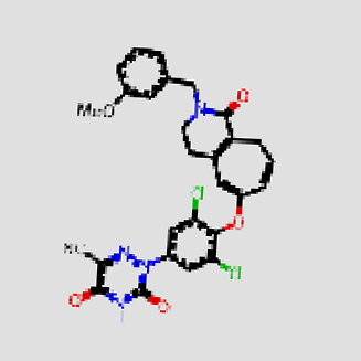 COc1cccc(CN2CCC3=C(CC=CC(Oc4c(Cl)cc(-n5nc(C#N)c(=O)[nH]c5=O)cc4Cl)=C3)C2=O)c1